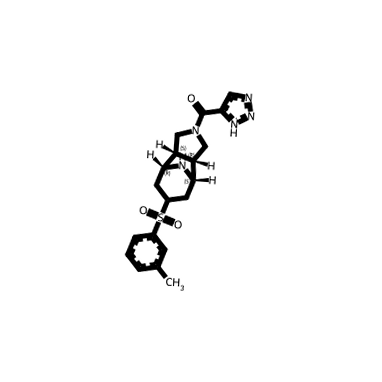 Cc1cccc(S(=O)(=O)C2C[C@@H]3N[C@H](C2)[C@@H]2CN(C(=O)c4cnn[nH]4)C[C@@H]23)c1